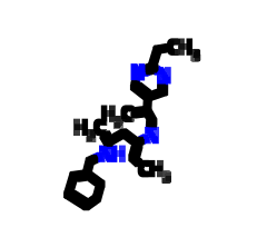 C=C(CC(=C/C)/N=C\C(=C)c1cnc(CC)nc1)NCC1=CC=CCC1